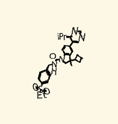 CCS(=O)(=O)c1ccc(CNC(=O)N2CC(C)(C3CCC3)c3cc(-c4cncnc4C(C)C)ccc32)cc1